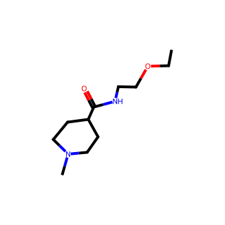 CCOCCNC(=O)C1CCN(C)CC1